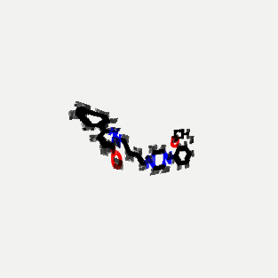 COc1ccccc1N1CCN(CCCCn2nc(-c3ccccc3)ccc2=O)CC1